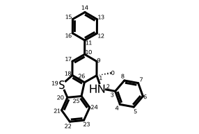 C[C@@]1(Nc2ccccc2)CC(c2ccccc2)=Cc2sc3ccccc3c21